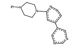 CC(C)N1CCN(c2cc(-c3cncnc3)ccn2)CC1